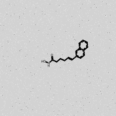 O=C(CCCC=Cc1ccc2ccccc2c1)NO